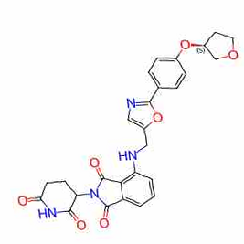 O=C1CCC(N2C(=O)c3cccc(NCc4cnc(-c5ccc(O[C@H]6CCOC6)cc5)o4)c3C2=O)C(=O)N1